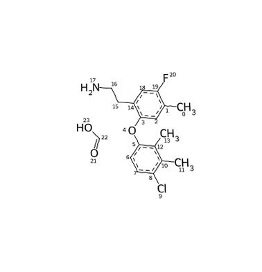 Cc1cc(Oc2ccc(Cl)c(C)c2C)c(CCN)cc1F.O=CO